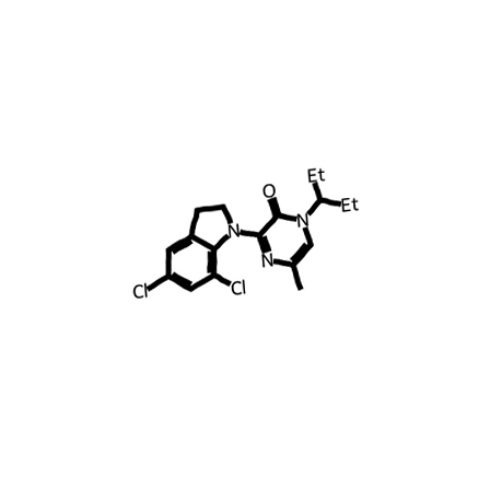 CCC(CC)n1cc(C)nc(N2CCc3cc(Cl)cc(Cl)c32)c1=O